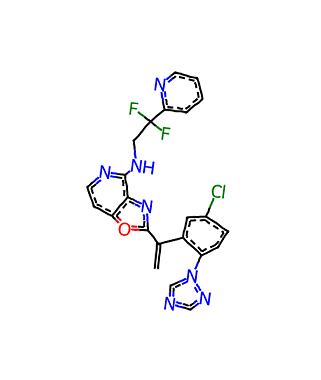 C=C(c1nc2c(NCC(F)(F)c3ccccn3)nccc2o1)c1cc(Cl)ccc1-n1cncn1